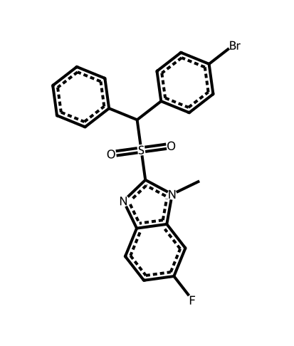 Cn1c(S(=O)(=O)C(c2ccccc2)c2ccc(Br)cc2)nc2ccc(F)cc21